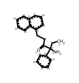 [CH2]CC(N)(C(=O)CCc1cccc2ccccc12)c1ccccc1